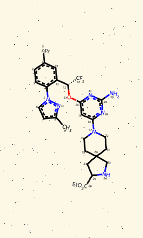 CCCc1ccc(-n2ccc(C)n2)c([C@@H](Oc2cc(N3CCC4(CC3)CNC(C(=O)OCC)C4)nc(N)n2)C(F)(F)F)c1